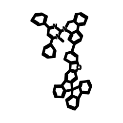 CN1C(c2ccccc2)=CC(c2ccccc2)=NC1N1Cc2ccccc2-c2ccc(C3=Cc4oc5cc6c(cc5c4CC3)-c3ccccc3C63c4ccccc4-c4ccccc43)cc21